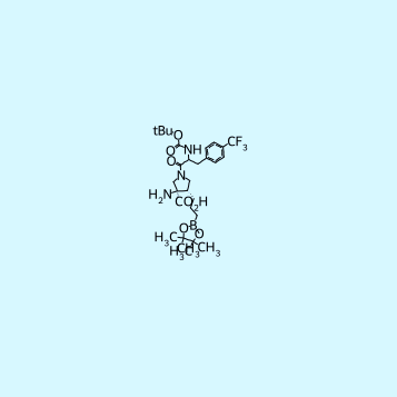 CC(C)(C)OC(=O)NC(Cc1ccc(C(F)(F)F)cc1)C(=O)N1C[C@H](CCCB2OC(C)(C)C(C)(C)O2)[C@](N)(C(=O)O)C1